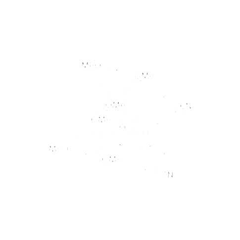 COc1cc(OC)c(/C=C/C(c2ccc(C#N)cc2)S(=O)(=O)C(/C=C/c2c(OC)cc(OC)cc2OC)c2ccc(C#N)cc2)c(OC)c1